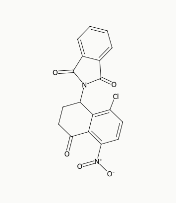 O=C1CCC(N2C(=O)c3ccccc3C2=O)c2c(Cl)ccc([N+](=O)[O-])c21